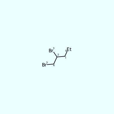 [CH2]CCC(Br)CBr